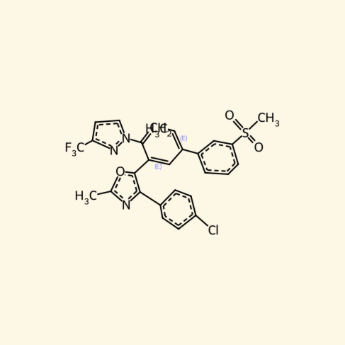 C=C(/C(=C\C(=C/C)c1cccc(S(C)(=O)=O)c1)c1oc(C)nc1-c1ccc(Cl)cc1)n1ccc(C(F)(F)F)n1